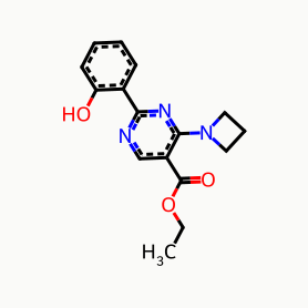 CCOC(=O)c1cnc(-c2ccccc2O)nc1N1CCC1